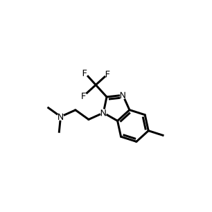 Cc1ccc2c(c1)nc(C(F)(F)F)n2CCN(C)C